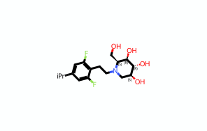 CC(C)c1cc(F)c(CCN2C[C@H](O)[C@@H](O)[C@H](O)[C@@H]2CO)c(F)c1